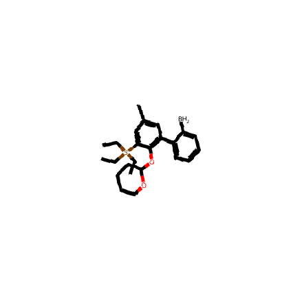 Bc1ccccc1-c1cc(C)cc(S(CC)(CC)CC)c1OC1CCCCO1